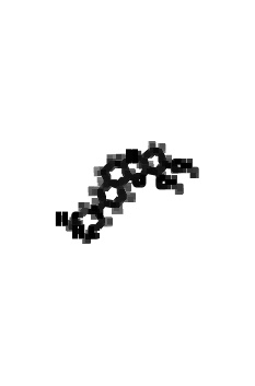 C=c1ccc2c(c1C)Oc1c(ccc3cc(N(CC)CC)ccc13)N=2